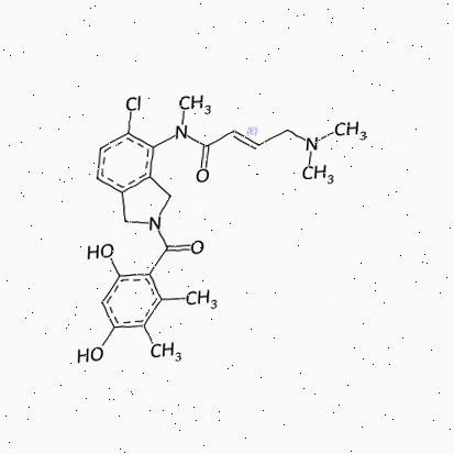 Cc1c(O)cc(O)c(C(=O)N2Cc3ccc(Cl)c(N(C)C(=O)/C=C/CN(C)C)c3C2)c1C